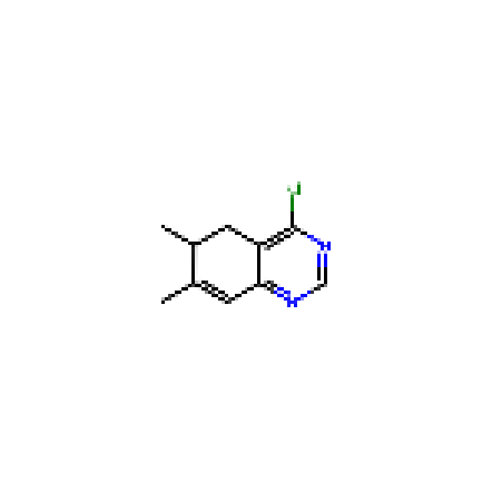 CC1=Cc2ncnc(Cl)c2CC1C